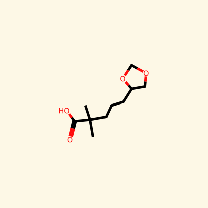 CC(C)(CCCC1COCO1)C(=O)O